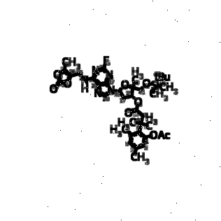 CC(=O)Oc1cc(C)cc(C)c1C(C)(C)CC(=O)O[C@H]1C[C@H](n2cnc3c(NCc4oc(=O)oc4C)nc(F)nc32)O[C@]1(C)CO[Si](C)(C)C(C)(C)C